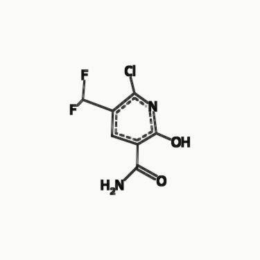 NC(=O)c1cc(C(F)F)c(Cl)nc1O